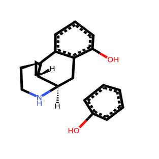 Oc1cccc2c1C[C@H]1NCC[C@@]23CCCC[C@@H]13.Oc1ccccc1